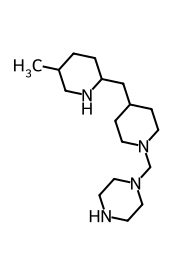 CC1CCC(CC2CCN(CN3CCNCC3)CC2)NC1